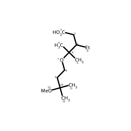 CCC(CC(=O)O)C(C)(C)OCCC(C)(C)OC